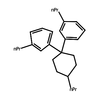 CCCc1cccc(C2(c3cccc(CCC)c3)CCC(CCC)CC2)c1